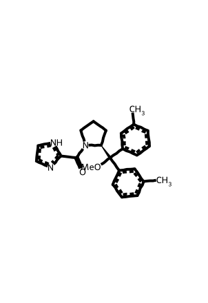 COC(c1cccc(C)c1)(c1cccc(C)c1)[C@@H]1CCCN1C(=O)c1ncc[nH]1